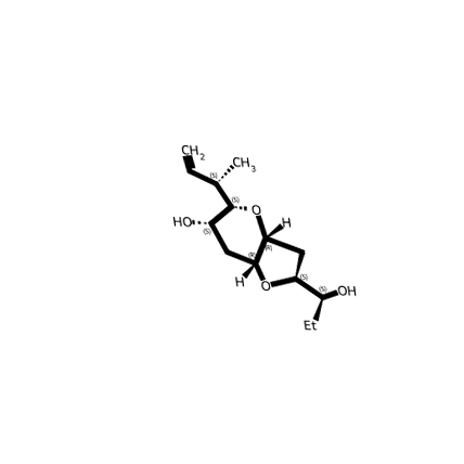 C=C[C@H](C)[C@@H]1O[C@@H]2C[C@@H]([C@@H](O)CC)O[C@@H]2C[C@@H]1O